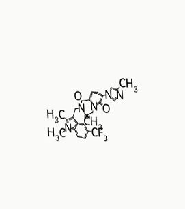 Cc1cn(-c2ccc3n(c2=O)C[C@@H](C)N(Cc2c(C)n(C)c4ccc(C(F)(F)F)cc24)C3=O)cn1